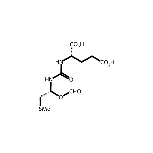 CSC[C@H](NC(=O)N[C@@H](CCC(=O)O)C(=O)O)OC=O